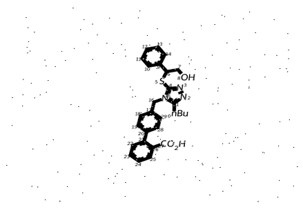 CCCCc1nnc(SC(CO)c2ccccc2)n1Cc1ccc(-c2ccccc2C(=O)O)cc1